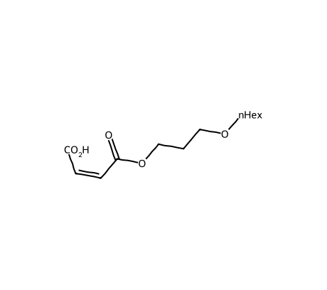 CCCCCCOCCCOC(=O)/C=C\C(=O)O